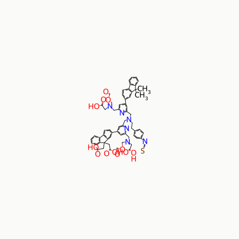 CC1(C)c2ccccc2-c2ccc(-c3cc(CN(COC=O)CC(=O)O)nc(CN(CCc4ccc(N=C=S)cc4)Cc4cc(-c5ccc6c(c5)C(CC(=O)O)(CC(=O)O)c5ccccc5-6)cc(CN(COC=O)CC(=O)O)n4)c3)cc21